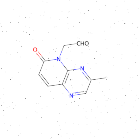 Cc1cnc2ccc(=O)n(CC=O)c2n1